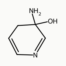 NC1(O)C=NC=CC1